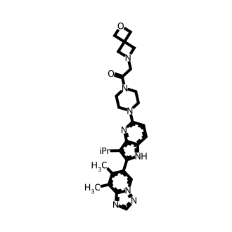 Cc1c(-c2[nH]c3ccc(N4CCN(C(=O)CN5CC6(COC6)C5)CC4)nc3c2C(C)C)cn2ncnc2c1C